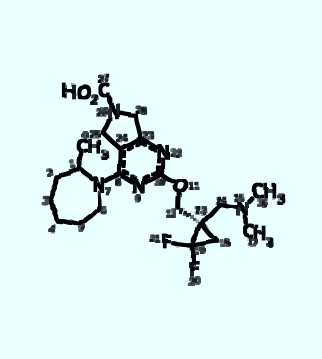 CC1CCCCCN1c1nc(OC[C@]2(CN(C)C)CC2(F)F)nc2c1CN(C(=O)O)C2